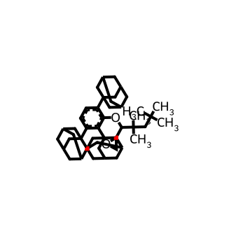 CC(C)(C)CC(C)(C)C(Oc1c(C23CC4CC(CC(C4)C2)C3)ccc(C23CC4CC(CC(C4)C2)C3)c1C12CC3CC(CC(C3)C1)C2)C1CO1